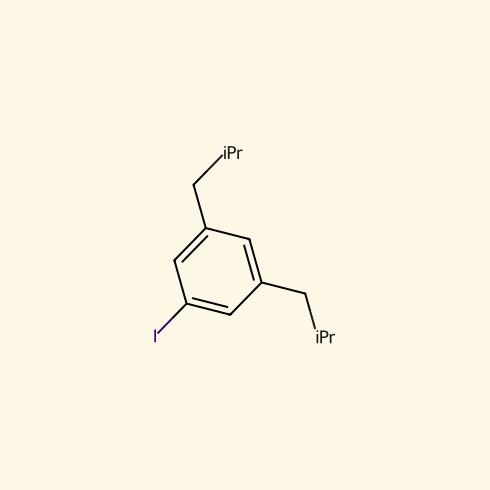 CC(C)Cc1cc(I)cc(CC(C)C)c1